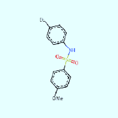 CCc1ccc(NS(=O)(=O)c2ccc(OC)cc2)cc1